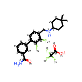 CC1(C)CCC(NCc2ccc(-c3cccc(C(N)=O)c3)c(F)c2F)CC1.O=C(O)C(F)(F)F